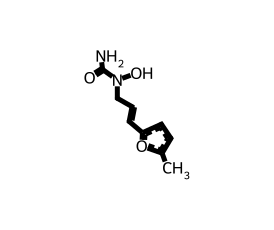 Cc1ccc(C=CCN(O)C(N)=O)o1